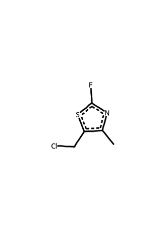 Cc1nc(F)sc1CCl